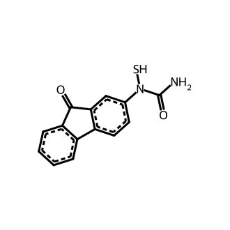 NC(=O)N(S)c1ccc2c(c1)C(=O)c1ccccc1-2